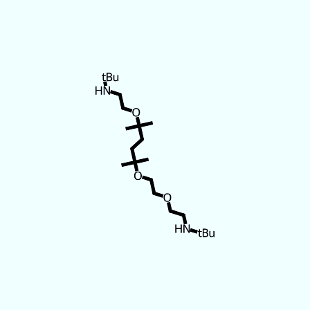 CC(C)(C)NCCOCCOC(C)(C)CCC(C)(C)OCCNC(C)(C)C